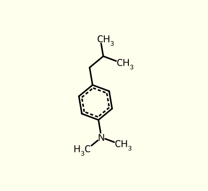 CC(C)Cc1ccc(N(C)C)cc1